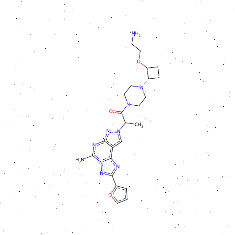 CC(C(=O)N1CCN([C@H]2CCC2OCCN)CC1)n1cc2c(nc(N)n3nc(-c4ccco4)nc23)n1